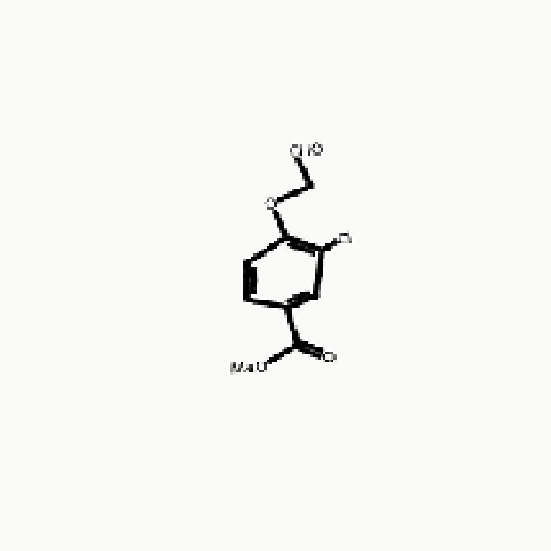 COC(=O)c1ccc(OCC=O)c(Cl)c1